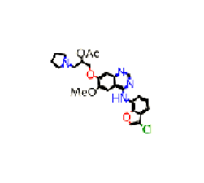 COc1cc2c(Nc3cccc4c(Cl)coc34)ncnc2cc1OCC(CN1CCCC1)OC(C)=O